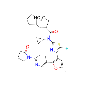 Cc1cc(-c2nc(N(C(=O)C(CC(=O)O)CC3CCCC3)C3CC3)sc2F)c(-c2ccc(N3CCCC3=O)nc2)o1